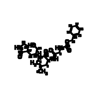 CC(C)C[C@H](NC(=O)CNC(=O)OCc1ccccc1)C(=O)N[C@H](CO)CC1CCNC1=O